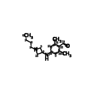 CCCCN1CC(Nc2cc(C)c(C=O)c(C)c2)C1